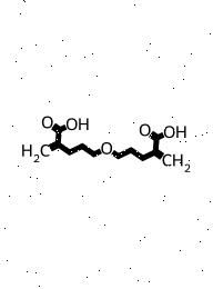 C=C(CCCOCCCC(=C)C(=O)O)C(=O)O